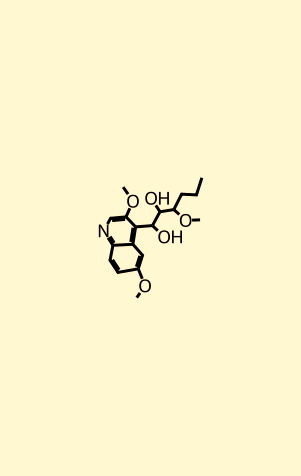 CCCC(OC)C(O)C(O)c1c(OC)cnc2ccc(OC)cc12